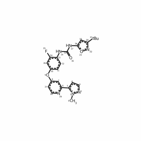 Cn1nccc1-c1cc(Oc2ccc(NC(=O)Nc3cc(C(C)(C)C)no3)c(F)c2)ccn1